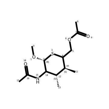 CO[C@@H]1SC(COC(C)=O)[C@@H](C)[C@H](C)C1NC(C)=O